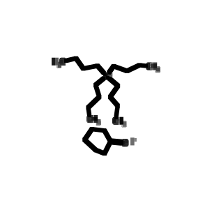 CCCC[N+](CCCC)(CCCC)CCCC.O=C1CCCCC1.[I-]